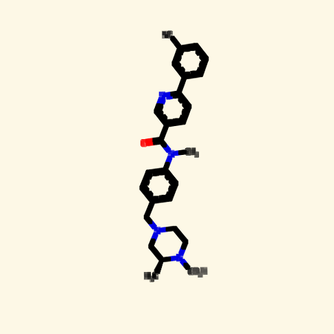 C[C@H]1CN(Cc2ccc(N(C)C(=O)c3ccc(-c4cccc(C#N)c4)nc3)cc2)CCN1C(=O)O